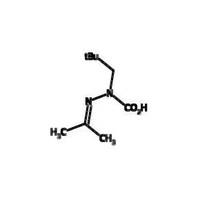 CC(C)=NN(CC(C)(C)C)C(=O)O